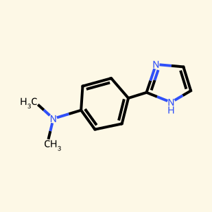 CN(C)c1ccc(-c2ncc[nH]2)cc1